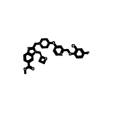 COC(=O)c1ccc2nc(CN3CCC(Oc4ccnc(COc5ccc(F)cc5Cl)c4)CC3)n(C[C@@H]3CCO3)c2c1